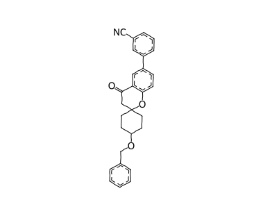 N#Cc1cccc(-c2ccc3c(c2)C(=O)CC2(CCC(OCc4ccccc4)CC2)O3)c1